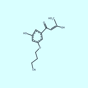 N#CCCCOc1cc(O)cc(C(=O)/C=C(/O)C(=O)O)c1